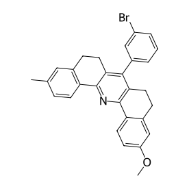 COc1ccc2c(c1)CCc1c-2nc2c(c1-c1cccc(Br)c1)CCc1cc(C)ccc1-2